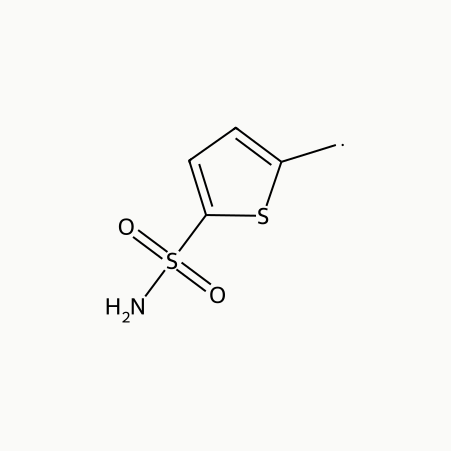 [CH2]c1ccc(S(N)(=O)=O)s1